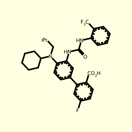 CC(C)CN(c1ccc(-c2cc(F)ccc2C(=O)O)cc1NC(=O)Nc1ccccc1C(F)(F)F)C1CCCCC1